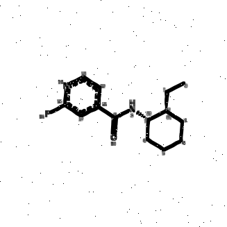 CC[C@H]1CCCC[C@@H]1NC(=O)c1ccnc(F)c1